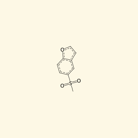 CS(=O)(=O)c1ccc2occc2c1